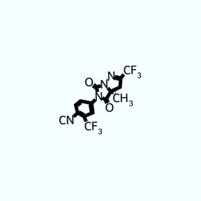 [C-]#[N+]c1ccc(N2C(=O)N3N=C(C(F)(F)F)C[C@@]3(C)C2=O)cc1C(F)(F)F